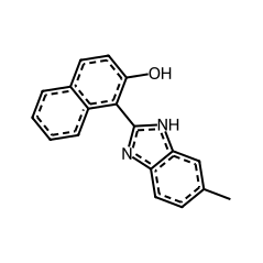 Cc1ccc2nc(-c3c(O)ccc4ccccc34)[nH]c2c1